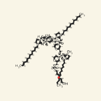 CCCCCCCCCCCCN1CCN(C)C1=NP(=O)(OC[C@@H]1CN(P(=O)(N=C2N(C)CCN2CCCCCCCCCCCC)OC[C@@H]2CN(P(=O)(N=C3N(C)CCN3CCCCCCCCCCCC)OC(C)(C)C)CCO2)CCO1)N1CCO[C@H](COP(=O)(O)OCCCCCCO)C1